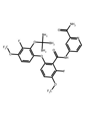 BC(B)(B)Oc1c(Oc2ccc(OC(F)(F)F)c(F)c2C(=O)Nc2ccnc(C(N)=O)c2)ccc(OC(F)(F)F)c1F